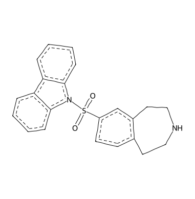 O=S(=O)(c1ccc2c(c1)CCNCC2)n1c2ccccc2c2ccccc21